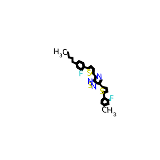 CCCCCc1ccc(-c2ccc(-c3ncc(-c4ccc(-c5ccc(C)cc5F)s4)c4nsnc34)s2)c(F)c1